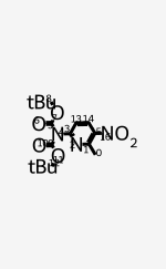 Cc1nc(N(C(=O)OC(C)(C)C)C(=O)OC(C)(C)C)ccc1[N+](=O)[O-]